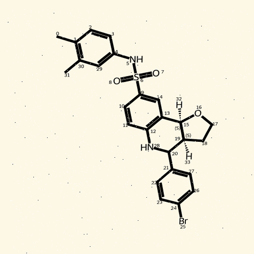 Cc1ccc(NS(=O)(=O)c2ccc3c(c2)[C@H]2OCC[C@H]2C(c2ccc(Br)cc2)N3)cc1C